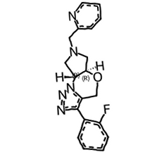 Fc1ccccc1-c1nnn2c1CO[C@@H]1CN(Cc3ccccn3)C[C@H]12